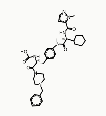 Cn1nccc1C(=O)N[C@H](C(=O)Nc1ccc(C[C@@H](NC(=O)O)C(=O)N2CCN(Cc3ccccc3)CC2)cc1)C1CCCCC1